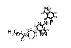 COCC(=O)N1CCC[C@@H](c2cnc(NCc3c(F)ccc4c3CCO4)n3cnnc23)CC1